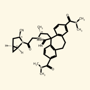 CNC(=N)C1(C[C@@H](C)NCC(=O)N2[C@H](C#N)C[C@@H]3C[C@@H]32)c2ccc(C(=O)N(C)C)cc2CCc2cc(C(=O)N(C)C)ccc21